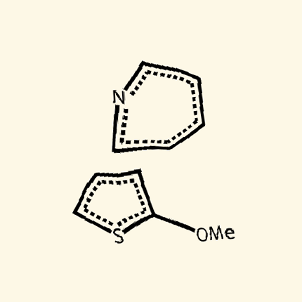 COc1cccs1.c1ccncc1